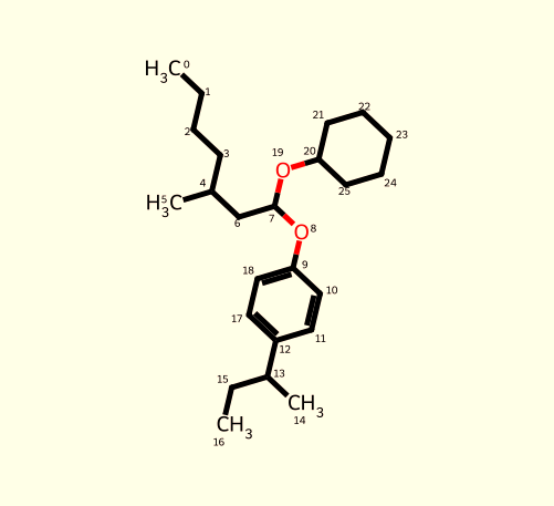 CCCCC(C)CC(Oc1ccc(C(C)CC)cc1)OC1CCCCC1